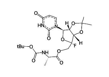 C[C@H](NC(=O)OC(C)(C)C)C(=O)OC[C@@]1(F)O[C@@H](n2ccc(=O)[nH]c2=O)[C@@H]2OC(C)(C)O[C@@H]21